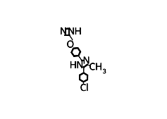 Cc1nc(-c2ccc(OCc3cnc[nH]3)cc2)[nH]c1-c1ccc(Cl)cc1